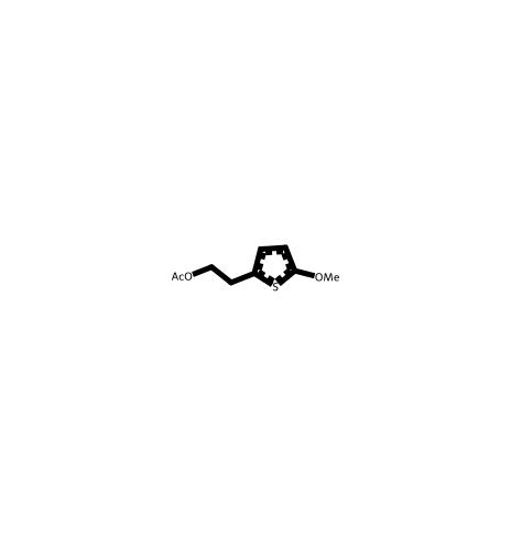 COc1ccc(CCOC(C)=O)s1